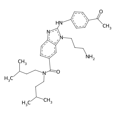 CC(=O)c1ccc(Nc2nc3ccc(C(=O)N(CCC(C)C)CCC(C)C)cc3n2CCCN)cc1